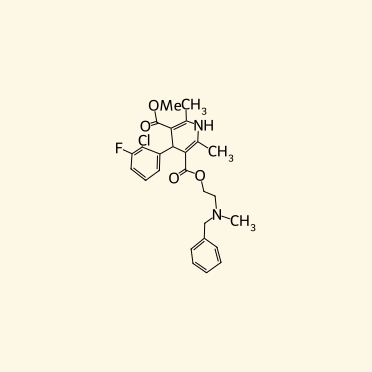 COC(=O)C1=C(C)NC(C)=C(C(=O)OCCN(C)Cc2ccccc2)C1c1cccc(F)c1Cl